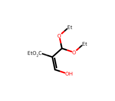 CCOC(=O)/C(=C/O)C(OCC)OCC